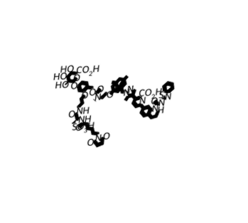 Cc1c(-c2ccc(-c3ccc4c(c3)N(C(=O)Nc3nc5ccccc5s3)CCC4)nc2C(=O)O)cnn1CC12CC3(C)CC(C)(C1)CC(OCCN(C)C(=O)OCc1ccc(O[C@@H]4O[C@H](C(=O)O)[C@H](O)[C@H](O)[C@@H]4O)cc1OCCCNC(=O)[C@H](CS(=O)(=O)O)NC(=O)CCCCCN1C(=O)C=CC1=O)(C3)C2